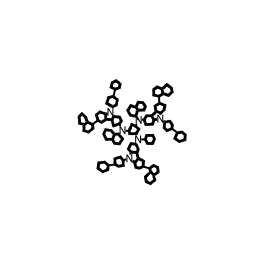 c1ccc(-c2ccc(-n3c4ccc(-c5cccc6ccccc56)cc4c4cc(N(c5ccccc5)c5cc(N(c6ccc7c(c6)c6cc(-c8cccc9ccccc89)ccc6n7-c6ccc(-c7ccccc7)cc6)c6cccc7ccccc67)cc(N(c6ccc7c(c6)c6cc(-c8cccc9ccccc89)ccc6n7-c6ccc(-c7ccccc7)cc6)c6cccc7ccccc67)c5)ccc43)cc2)cc1